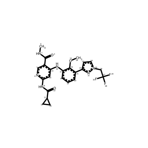 CNC(=O)c1cnc(NC(=O)C2CC2)cc1Nc1cccc(-c2ccn(CC(F)(F)F)n2)c1OC